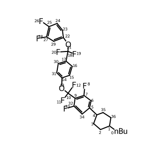 CCCCC1CCC(c2cc(F)c(C(F)(F)Oc3ccc(C(F)(F)Oc4ccc(F)c(F)c4)cc3)c(F)c2)CC1